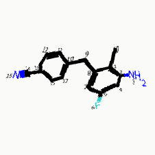 Cc1c(N)cc(F)cc1Cc1ccc(C#N)cc1